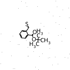 CC(C)(C)OC(=O)c1ccccc1C=S